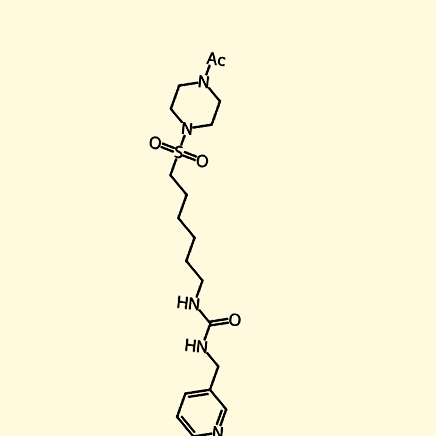 CC(=O)N1CCN(S(=O)(=O)CCCCCCNC(=O)NCc2cccnc2)CC1